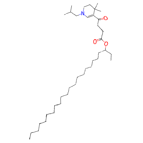 CCCCCCCCCCCCCCCCCCCCC(CC)OC(=O)CCC(=O)C1=CN(CC(C)C)CCC1(C)C